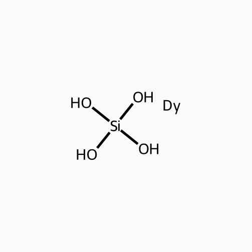 O[Si](O)(O)O.[Dy]